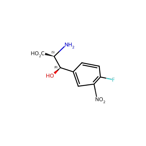 N[C@H](C(=O)O)[C@H](O)c1ccc(F)c([N+](=O)[O-])c1